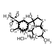 CC(C)N=C1SCC(O)(c2ccc(Cl)c(S(N)(=O)=O)c2)N1C(C)C.Cl